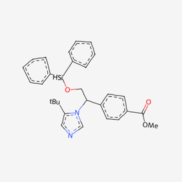 COC(=O)c1ccc(C(CO[SiH](c2ccccc2)c2ccccc2)n2cncc2C(C)(C)C)cc1